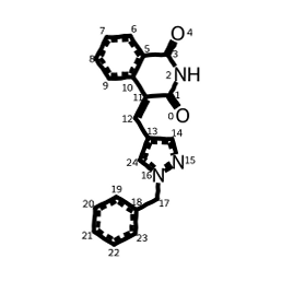 O=C1NC(=O)c2ccccc2/C1=C/c1cnn(Cc2ccccc2)c1